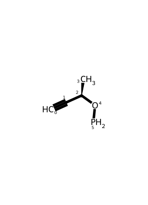 C#C[C@@H](C)OP